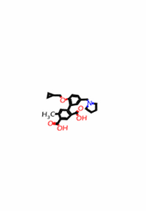 Cc1cc(-c2cc(CN3CCCC3)ccc2OCC2CC2)c(C(=O)O)cc1C(=O)O